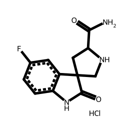 Cl.NC(=O)C1CC2(CN1)C(=O)Nc1ccc(F)cc12